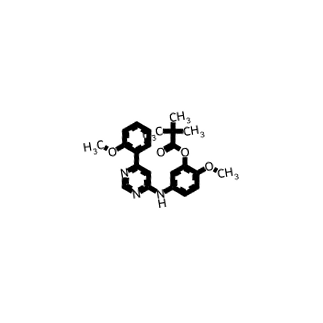 COc1ccc(Nc2cc(-c3ccccc3OC)ncn2)cc1OC(=O)C(C)(C)C